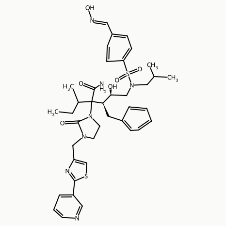 CCC(C)C(C(N)=O)([C@H](Cc1ccccc1)[C@@H](O)CN(CC(C)C)S(=O)(=O)c1ccc(C=NO)cc1)N1CCN(Cc2csc(-c3cccnc3)n2)C1=O